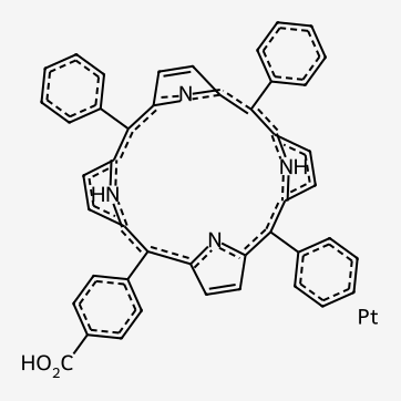 O=C(O)c1ccc(-c2c3nc(c(-c4ccccc4)c4ccc([nH]4)c(-c4ccccc4)c4nc(c(-c5ccccc5)c5ccc2[nH]5)C=C4)C=C3)cc1.[Pt]